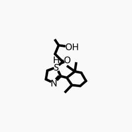 CC(O)CC(=O)[SH]1CCN=C1C1C(C)CCCC1(C)C